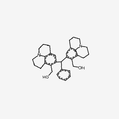 OCc1c(C(c2ccccc2)c2cc3c4c(c2CO)CCCN4CCC3)cc2c3c1CCCN3CCC2